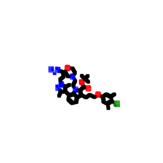 Cc1cc(OCCCc2c(C(=O)OC(C)(C)C)n(CCN3CCOCC3)c3c(-c4c(C)nn(CCCN)c4C)cccc23)cc(C)c1Cl